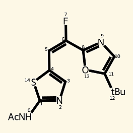 CC(=O)Nc1ncc(/C=C(/F)c2ncc(C(C)(C)C)o2)s1